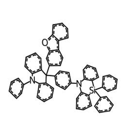 c1ccc(N2c3ccccc3C(c3ccc(N4c5ccccc5[Si](c5ccccc5)(c5ccccc5)c5ccccc54)cc3)(c3ccc4c(c3)oc3ccccc34)c3ccccc32)cc1